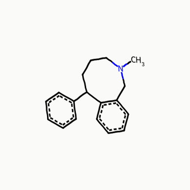 CN1CCCC(c2ccccc2)c2ccccc2C1